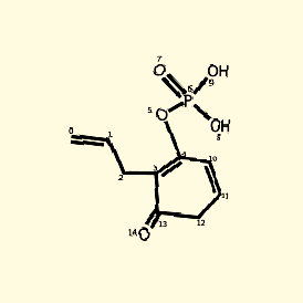 C=CCC1=C(OP(=O)(O)O)C=CCC1=O